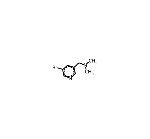 CN(C)Cc1cncc(Br)c1